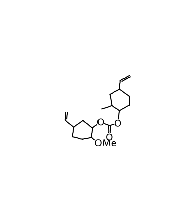 C=CC1CCC(OC(=O)OC2CC(C=C)CCC2OC)C(C)C1